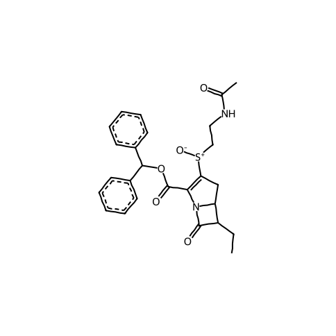 CCC1C(=O)N2C(C(=O)OC(c3ccccc3)c3ccccc3)=C([S+]([O-])CCNC(C)=O)CC12